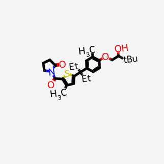 CCC(CC)(c1ccc(OCC(O)C(C)(C)C)c(C)c1)c1cc(C)c(C(=O)N2CCCC2=O)s1